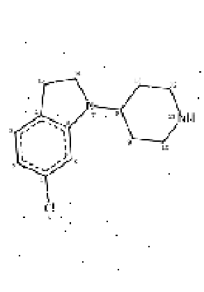 Clc1ccc2c(c1)N(C1CCNCC1)CC2